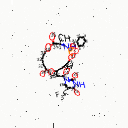 C[C@@H]1NP(=O)(Oc2ccccc2)OC[C@H]2O[C@@H](n3cc(C(F)(F)F)c(=O)[nH]c3=O)C[C@@H]2OC(=O)CCCOC1=O